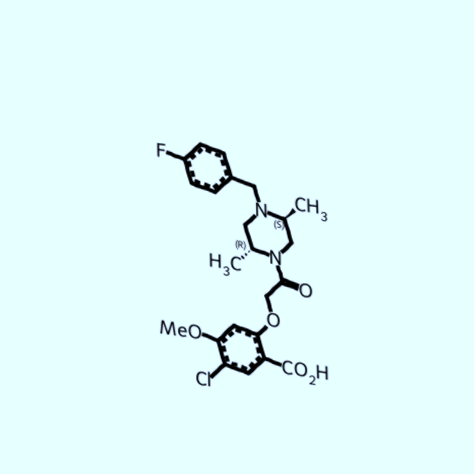 COc1cc(OCC(=O)N2C[C@H](C)N(Cc3ccc(F)cc3)C[C@H]2C)c(C(=O)O)cc1Cl